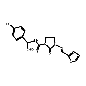 O=[C]C(NC(=O)N1CCN(N=Cc2ccco2)C1=O)c1ccc(O)cc1